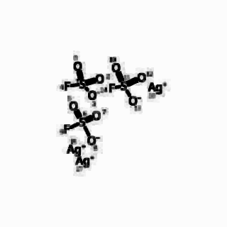 O=S(=O)([O-])F.O=S(=O)([O-])F.O=S(=O)([O-])F.[Ag+].[Ag+].[Ag+]